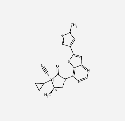 C[C@@H]1CN(c2ncnc3cc(-c4cnn(C)c4)sc23)C(=O)[C@]1(C#N)C1CC1